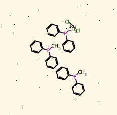 CP(c1ccccc1)c1ccccc1.CP(c1ccccc1)c1ccccc1.CP(c1ccccc1)c1ccccc1.[Cl][Ru][Cl]